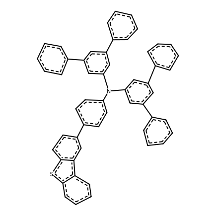 c1ccc(-c2cc(-c3ccccc3)cc(N(c3ccc(-c4ccc5sc6ccccc6c5c4)cc3)c3cc(-c4ccccc4)cc(-c4ccccc4)c3)c2)cc1